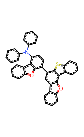 c1ccc(N(c2ccccc2)c2ccc(-c3cc4c5ccccc5oc4c4c3sc3ccccc34)c3oc4ccccc4c23)cc1